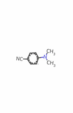 CN(C)c1[c]cc(C#N)cc1